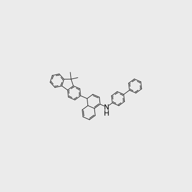 CC1(C)c2ccccc2-c2ccc(C3C=CC(Nc4ccc(-c5ccccc5)cc4)=C4C=CC=CC43)cc21